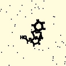 OC[C@H]1CCC2(CC2)N1Cc1ccccc1